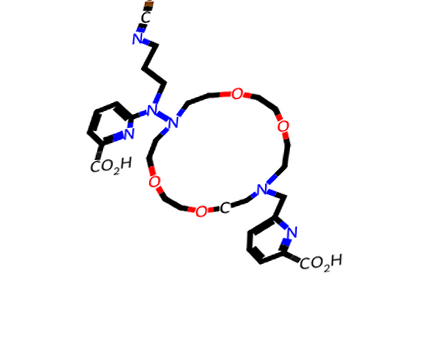 O=C(O)c1cccc(CN2CCOCCOCCN(N(CCCN=C=S)c3cccc(C(=O)O)n3)CCOCCOCC2)n1